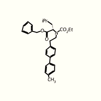 CCOC(=O)N(CCc1ccc(-c2ccc(C)cc2)cc1)[C@@H](CC(C)C)C(=O)OCc1ccccc1